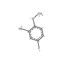 COc1ccc(F)cc1S